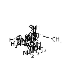 CCCCCCCCCCCCCC(=O)N[C@@H](Cc1c[nH]c2ccccc12)C(=O)NCC(=O)NCC(=O)N[C@H](C(=O)N[C@H](C(=O)N[C@@H](CCCCN)C(=O)N[C@@H](CC(N)=O)C(=O)N[C@@H](Cc1ccc(O)cc1)C(=O)N[C@@H](C)C(=O)O)C(N)CCCN)[C@@H](C)CC